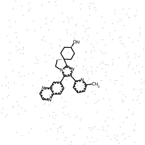 Cc1cccc(-c2nc3n(c2-c2ccc4nccnc4c2)CC[C@]32CC[C@H](O)CC2)n1